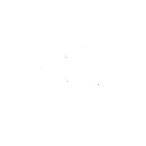 CSC1(c2cc(S)nc(S)n2)CC1